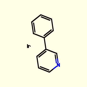 [Ir].c1ccc(-c2cccnc2)cc1